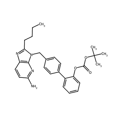 CCCCc1nc2ccc(N)nc2n1Cc1ccc(-c2ccccc2OC(=O)OC(C)(C)C)cc1